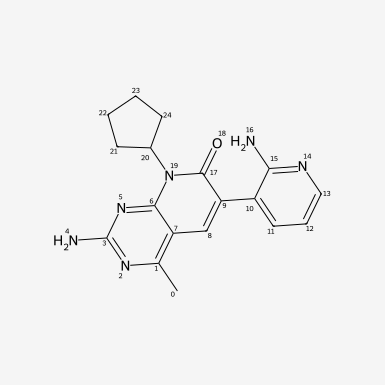 Cc1nc(N)nc2c1cc(-c1cccnc1N)c(=O)n2C1CCCC1